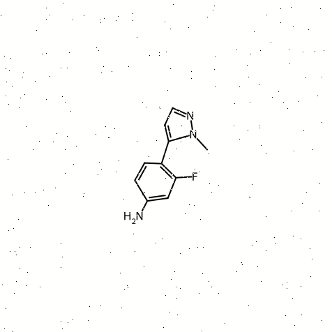 Cn1nccc1-c1ccc(N)cc1F